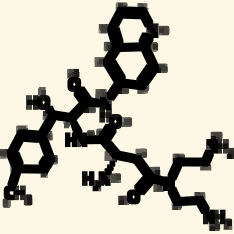 Cc1ccc([C@@H](O)[C@H](NC(=O)[C@@H](N)CC(=O)N(CCN)CCN)C(=O)Nc2ccc3ncccc3c2)cc1